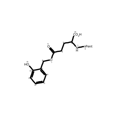 CCCCCNC(CCC(=O)OCc1ccccc1O)C(=O)O